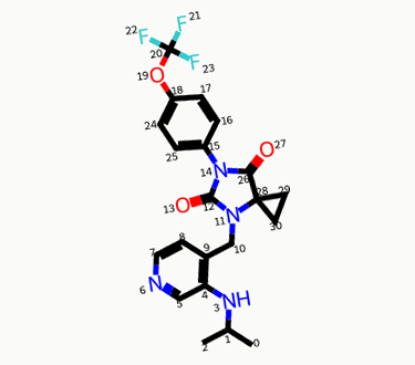 CC(C)Nc1cnccc1CN1C(=O)N(c2ccc(OC(F)(F)F)cc2)C(=O)C12CC2